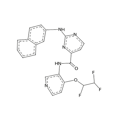 O=C(Nc1cnccc1OC(F)C(F)F)c1ccnc(Nc2ccc3ccccc3c2)n1